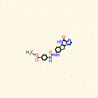 CCOC(=O)c1ccc(NC(=O)Nc2ccc3c(c2)Cc2c-3[nH]c(=O)c3nccn23)cc1